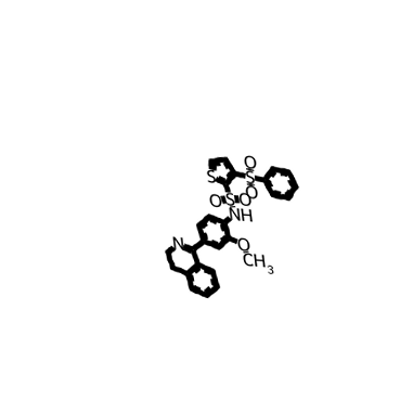 COc1cc(C2=NCCc3ccccc32)ccc1NS(=O)(=O)c1sccc1S(=O)(=O)c1ccccc1